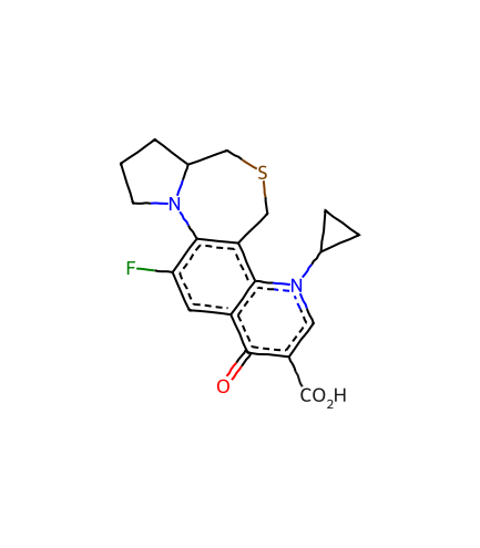 O=C(O)c1cn(C2CC2)c2c3c(c(F)cc2c1=O)N1CCCC1CSC3